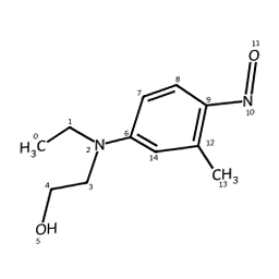 CCN(CCO)c1ccc(N=O)c(C)c1